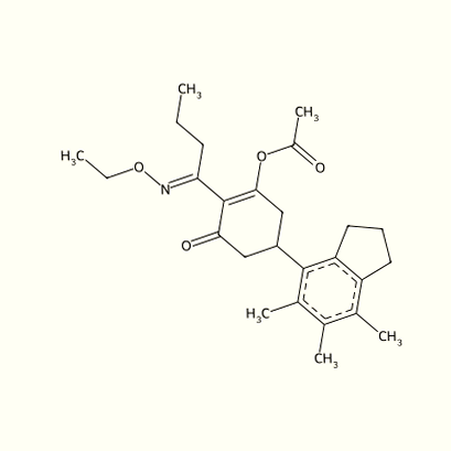 CCCC(=NOCC)C1=C(OC(C)=O)CC(c2c(C)c(C)c(C)c3c2CCC3)CC1=O